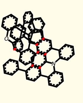 c1ccc(-c2ccc(-c3ccccc3N(c3cccc(-c4ccc5c(c4)C4(c6ccccc6Oc6ccccc64)c4ccccc4-5)c3)c3ccccc3-c3ccc4c(c3)-c3ccccc3C43c4ccccc4Oc4ccccc43)cc2)cc1